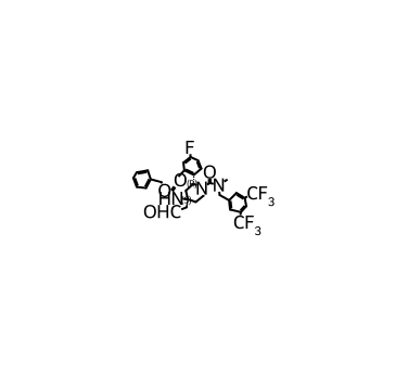 Cc1cc(F)ccc1[C@H]1C[C@@](CC=O)(NC(=O)OCc2ccccc2)CCN1C(=O)N(C)Cc1cc(C(F)(F)F)cc(C(F)(F)F)c1